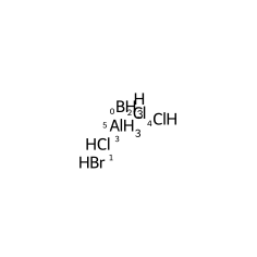 B.Br.Cl.Cl.Cl.[AlH3]